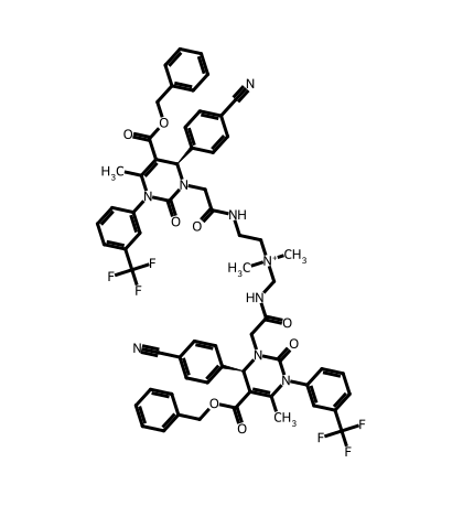 CC1=C(C(=O)OCc2ccccc2)[C@@H](c2ccc(C#N)cc2)N(CC(=O)NCC[N+](C)(C)CNC(=O)CN2C(=O)N(c3cccc(C(F)(F)F)c3)C(C)=C(C(=O)OCc3ccccc3)[C@H]2c2ccc(C#N)cc2)C(=O)N1c1cccc(C(F)(F)F)c1